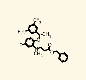 C[C@@H](Oc1ccc(F)cc1N(C)CCC(=O)OCc1ccccc1)c1cc(C(F)(F)F)cc(C(F)(F)F)c1